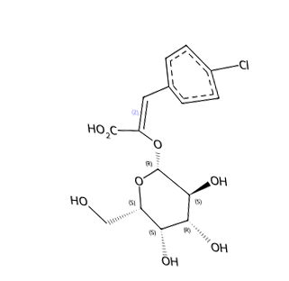 O=C(O)/C(=C/c1ccc(Cl)cc1)O[C@H]1O[C@@H](CO)[C@@H](O)[C@@H](O)[C@@H]1O